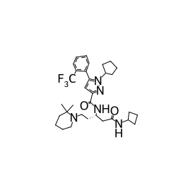 CC1(C)CCCCN1CC[C@@H](CC(=O)NC1CCC1)NC(=O)c1cc(-c2ccccc2C(F)(F)F)n(C2CCCC2)n1